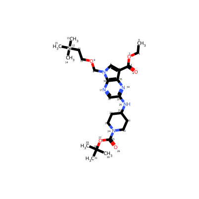 CCOC(=O)c1cn(COCC[Si](C)(C)C)c2ncc(NC3CCN(C(=O)OC(C)(C)C)CC3)nc12